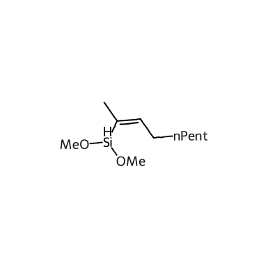 CCCCCCC=C(C)[SiH](OC)OC